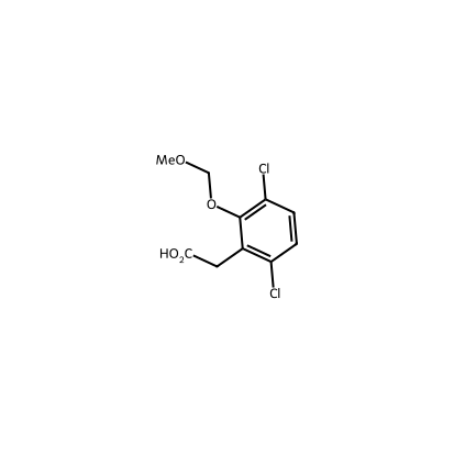 COCOc1c(Cl)ccc(Cl)c1CC(=O)O